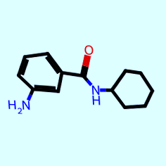 Nc1cccc(C(=O)NC2CCCCC2)c1